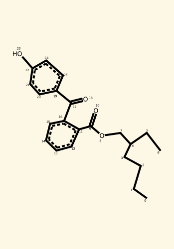 CCCCC(CC)COC(=O)c1ccccc1C(=O)c1ccc(O)cc1